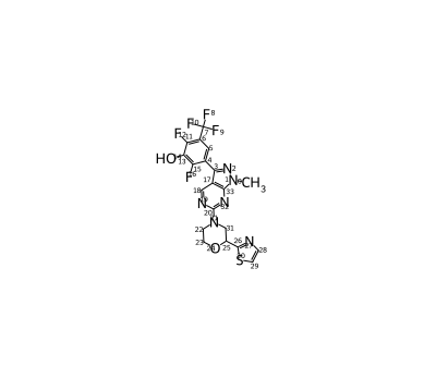 Cn1nc(-c2cc(C(F)(F)F)c(F)c(O)c2F)c2cnc(N3CCOC(c4nccs4)C3)nc21